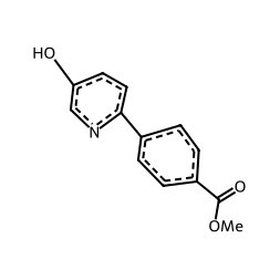 COC(=O)c1ccc(-c2ccc(O)cn2)cc1